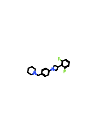 Fc1cccc(F)c1C1CN(c2ccc(CN3CCCCC3)cc2)C1